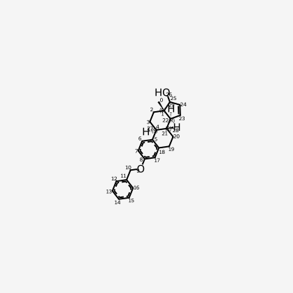 C[C@]12CC[C@@H]3c4ccc(OCc5ccccc5)cc4CC[C@H]3[C@@H]1C=CC2O